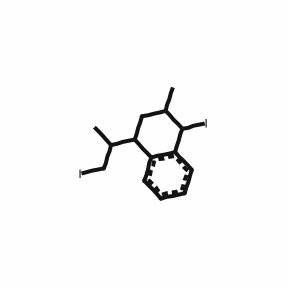 CC1CC(C(C)CI)c2ccccc2C1I